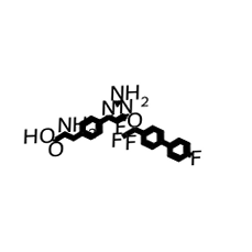 Nc1nc(OC(c2ccc(-c3ccc(F)cc3)cc2)C(F)(F)F)cc(-c2ccc(C[C@H](N)C(=O)O)cc2)n1